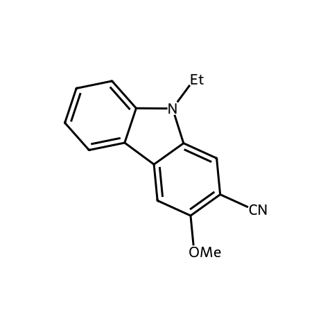 CCn1c2ccccc2c2cc(OC)c(C#N)cc21